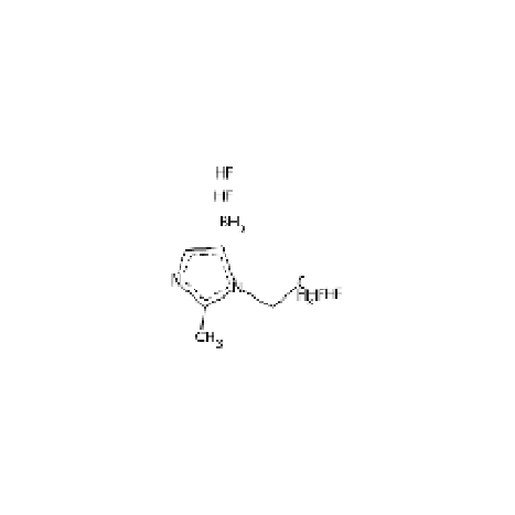 B.CCn1ccnc1C.F.F.F.F